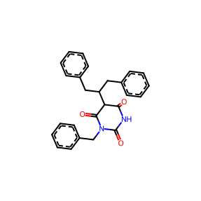 O=C1NC(=O)N(Cc2ccccc2)C(=O)C1C(Cc1ccccc1)Cc1ccccc1